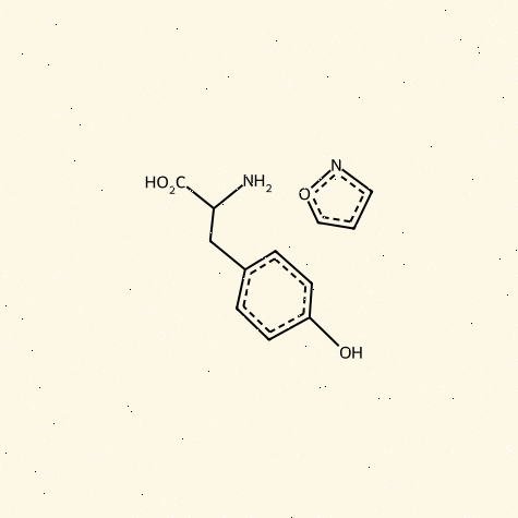 NC(Cc1ccc(O)cc1)C(=O)O.c1cnoc1